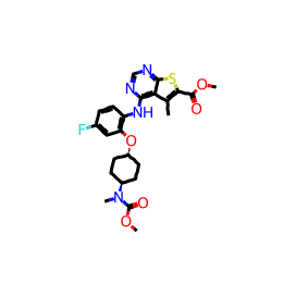 COC(=O)c1sc2ncnc(Nc3ccc(F)cc3O[C@H]3CC[C@H](N(C)C(=O)OC)CC3)c2c1C